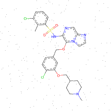 Cc1c(Cl)cccc1S(=O)(=O)Nc1ncc2nccn2c1OCc1ccc(Cl)c(OCC2CCN(C)CC2)c1